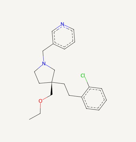 CCOC[C@@]1(CCc2ccccc2Cl)CCN(Cc2cccnc2)C1